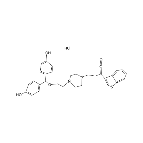 Cl.O=C=C(CCN1CCN(CCOC(c2ccc(O)cc2)c2ccc(O)cc2)CC1)c1csc2ccccc12